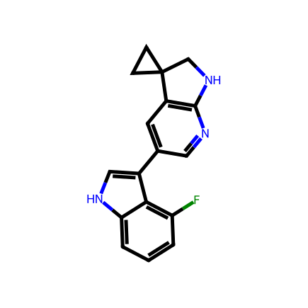 Fc1cccc2[nH]cc(-c3cnc4c(c3)C3(CC3)CN4)c12